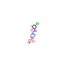 Cc1cc(Br)cc2nc(N3CCN(C(=O)OC(C)(C)C)CC3C)oc12